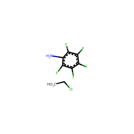 Nc1c(F)c(F)c(F)c(F)c1F.O=C(O)CCl